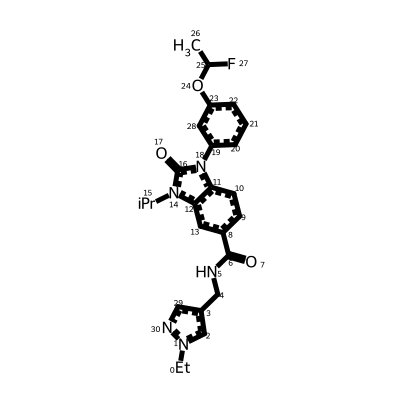 CCn1cc(CNC(=O)c2ccc3c(c2)n(C(C)C)c(=O)n3-c2cccc(OC(C)F)c2)cn1